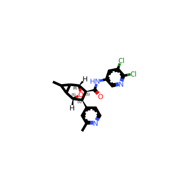 Cc1cc([C@@H]2[C@H](C(=O)Nc3cnc(Cl)c(Cl)c3)[C@@H]3O[C@H]2C2C(C)C23)ccn1